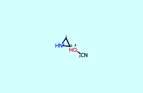 C1CN1.N#CO